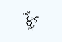 C=CC(=O)Oc1cc(C(F)(F)F)ccc1C=C[N+](=O)[O-]